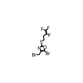 FC(F)=C(F)CCSc1nc(CBr)c(Br)o1